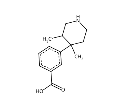 CC1CNCCC1(C)c1cccc(C(=O)O)c1